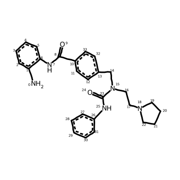 Nc1ccccc1NC(=O)c1ccc(CN(CCN2CCCC2)C(=O)Nc2ccccc2)cc1